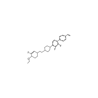 C=Cc1ccc(-c2ccc(C3CCC(CCC4C=C(F)C(OCC)CC4)CC3)c(F)c2F)cc1